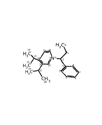 CCC(c1ccccc1)[n+]1ccc(C(C)C)c(C(C)C)c1